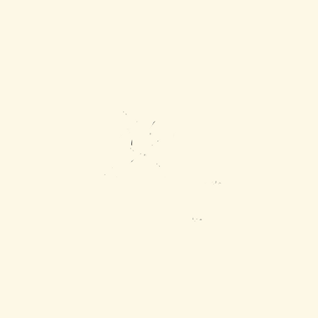 COC(=O)c1ccc(N2C[C@H]3[C@@H](C2=O)[C@H](c2cccc(Cl)c2F)[C@]2(C(=O)Nc4cc(Cl)ccc42)N3CC2CC2)cc1OC